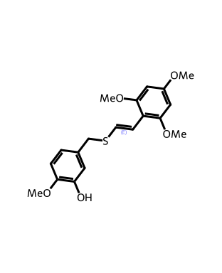 COc1cc(OC)c(/C=C/SCc2ccc(OC)c(O)c2)c(OC)c1